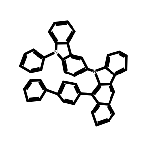 c1ccc(-c2ccc(-c3c4ccccc4cc4c5ccccc5n(-c5ccc6c(c5)c5ccccc5n6-c5ccccc5)c34)cc2)cc1